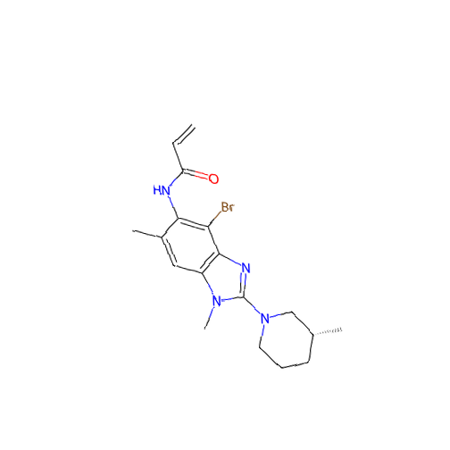 C=CC(=O)Nc1c(C)cc2c(nc(N3CCC[C@@H](C)C3)n2C)c1Br